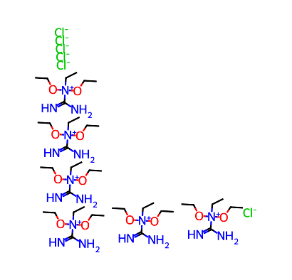 CCO[N+](CC)(OCC)C(=N)N.CCO[N+](CC)(OCC)C(=N)N.CCO[N+](CC)(OCC)C(=N)N.CCO[N+](CC)(OCC)C(=N)N.CCO[N+](CC)(OCC)C(=N)N.CCO[N+](CC)(OCC)C(=N)N.[Cl-].[Cl-].[Cl-].[Cl-].[Cl-].[Cl-]